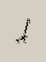 COCC(C)(COC(C)=O)C(=O)OCCCCCC[PH](C)(C)C